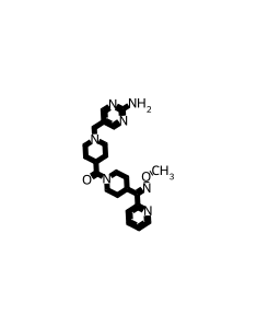 CO/N=C(/c1ccccn1)C1CCN(C(=O)C2CCN(Cc3cnc(N)nc3)CC2)CC1